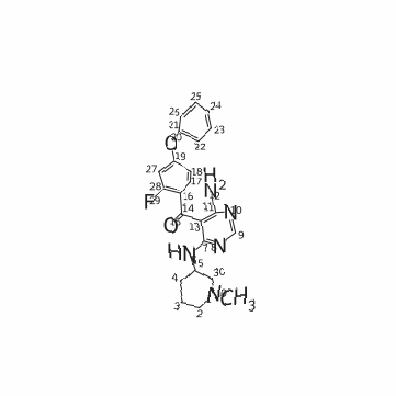 CN1CCCC(Nc2ncnc(N)c2C(=O)c2ccc(Oc3ccccc3)cc2F)C1